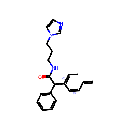 C=C/C=C\C(=C/C)C(C(=O)NCCCn1ccnc1)c1ccccc1